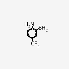 Bc1cc(C(F)(F)F)ccc1N